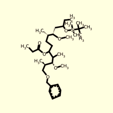 CCC(=O)OC(CC[C@H](C)[C@H](CC(CC)O[Si](C)(C)C(C)(C)C)OC)C(C)[C@H](OC)[C@H](C)COCc1ccccc1